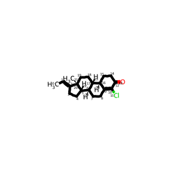 CC=C1CC[C@H]2[C@@H]3CCC4=C(Cl)C(=O)CC[C@@H]4[C@H]3CC[C@]12C